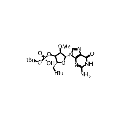 COC1C(OP(=O)(O)OC(C)(C)C)[C@@H](CC(C)(C)C)O[C@H]1n1cnc2c(=O)[nH]c(N)nc21